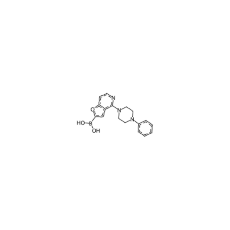 OB(O)c1cc2c(N3CCN(c4ccccc4)CC3)nccc2o1